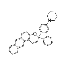 C1=CC(c2ccccc2)(c2ccc(N3CCCCC3)cc2)Oc2ccc3cc4ccccc4cc3c21